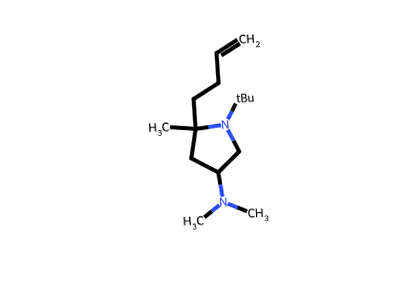 C=CCCC1(C)CC(N(C)C)CN1C(C)(C)C